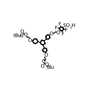 CC(C)(C)OC(=O)OCCOc1ccc(-c2cc(-c3ccc(OCCOC(=O)OC(C)(C)C)cc3)cc(-c3ccc(OCCOc4c(F)c(F)c(S(=O)(=O)O)c(F)c4F)cc3)c2)cc1